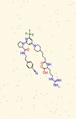 N#Cc1ccc(CCNC(=O)C2CCCN2c2cc(N3CCC(CCCC(=O)NC(CCCNC(=N)N)C(=O)O)CC3)cc(C(F)(F)F)n2)cc1